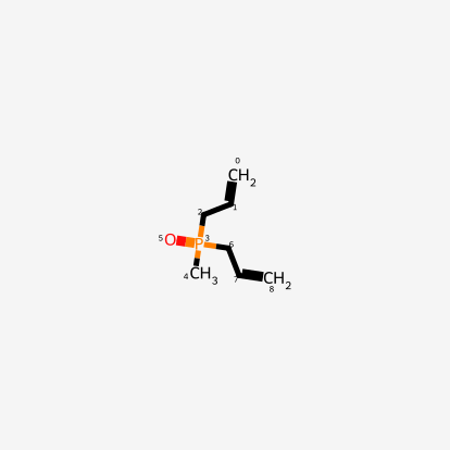 C=CCP(C)(=O)CC=C